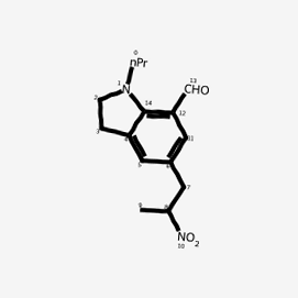 [CH2]CCN1CCc2cc(CC(C)[N+](=O)[O-])cc(C=O)c21